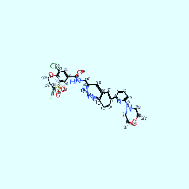 C[C@@H]1CN(c2cccc(-c3ccc4nnc(CNC(=O)c5cc(Cl)c6c(c5)S(=O)(=O)[C@@H](F)CCO6)cc4c3)n2)C[C@H](C)O1